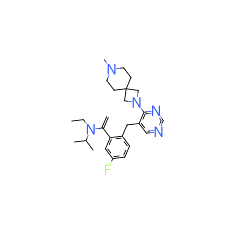 C=C(c1cc(F)ccc1Cc1cncnc1N1CC2(CCN(C)CC2)C1)N(CC)C(C)C